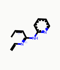 C=C/N=C(\C=C/C)Nc1ccccn1